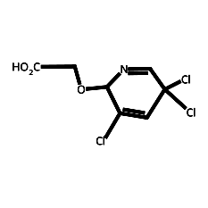 O=C(O)COC1N=CC(Cl)(Cl)C=C1Cl